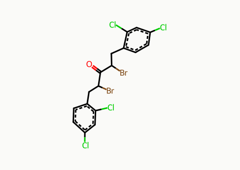 O=C(C(Br)Cc1ccc(Cl)cc1Cl)C(Br)Cc1ccc(Cl)cc1Cl